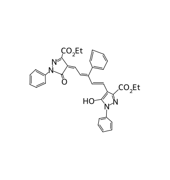 CCOC(=O)C1=NN(c2ccccc2)C(=O)\C1=C/C=C(/C=C/c1c(C(=O)OCC)nn(-c2ccccc2)c1O)c1ccccc1